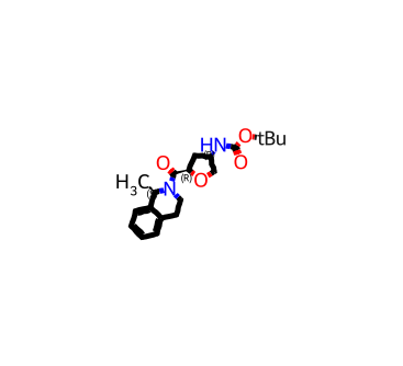 C[C@H]1c2ccccc2CCN1C(=O)[C@H]1C[C@@H](NC(=O)OC(C)(C)C)CO1